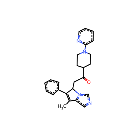 CC1=C(c2ccccc2)C(CC(=O)C2CCN(c3ccccn3)CC2)n2cncc21